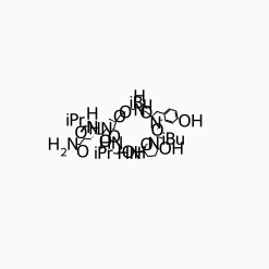 CCC(C)[C@H]1NO[C@@H](Cc2ccc(O)cc2)N(C)O[C@@H](C(C)CC)[N@@]2O[C@@H](CC[C@H]2O)NO[C@@H](CC(C)C)NO[C@H](NC(=O)[C@H](CCC(N)=O)NC(=O)C(C)C)[C@@H](C)OO1